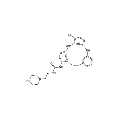 Cc1cnc2nc1Nc1ccc(NC(=O)NCCN3CCNCC3)c(c1)CCc1cccc(c1)N2